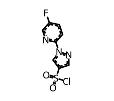 O=S(=O)(Cl)c1cnn(-c2ccc(F)cn2)c1